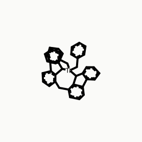 c1ccc([CH2][Ti]2([CH2]c3ccccc3)[CH]3c4ccccc4-c4cccc(c43)Cc3cccc4c3[CH]2c2ccccc2-4)cc1